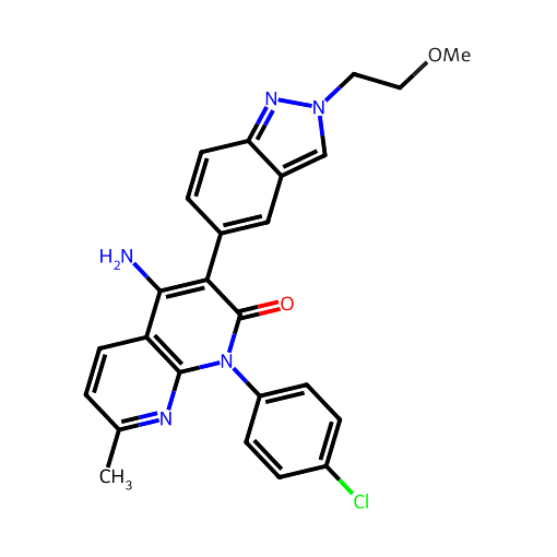 COCCn1cc2cc(-c3c(N)c4ccc(C)nc4n(-c4ccc(Cl)cc4)c3=O)ccc2n1